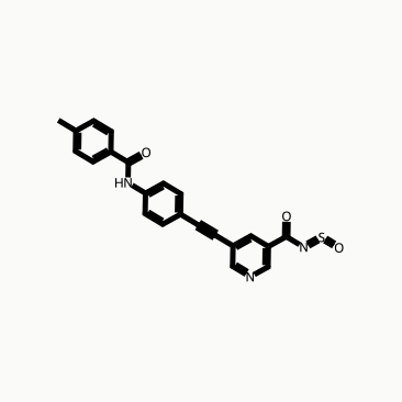 Cc1ccc(C(=O)Nc2ccc(C#Cc3cncc(C(=O)N=S=O)c3)cc2)cc1